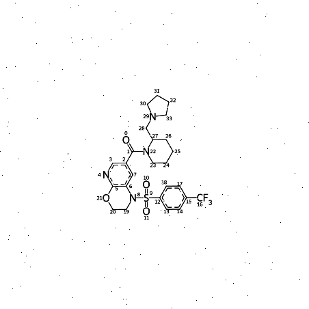 O=C(c1cnc2c(c1)N(S(=O)(=O)c1ccc(C(F)(F)F)cc1)CCO2)N1CCCCC1CN1CCCC1